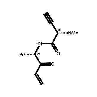 C#C[C@H](NC)C(=O)N[C@H](C(=O)C=C)C(C)C